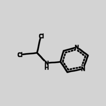 ClC(Cl)Nc1cncnc1